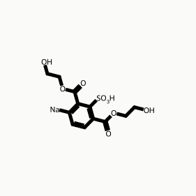 O=C(OCCO)c1cc[c]([Na])c(C(=O)OCCO)c1S(=O)(=O)O